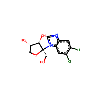 OC[C@]1(n2cnc3cc(Cl)c(Cl)cc32)OC[C@H](O)[C@@H]1O